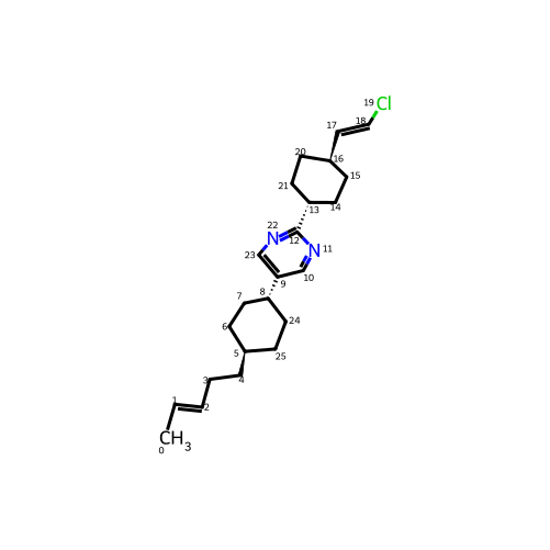 C/C=C/CC[C@H]1CC[C@H](c2cnc([C@H]3CC[C@H](/C=C/Cl)CC3)nc2)CC1